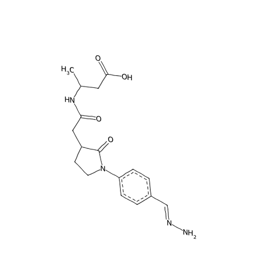 CC(CC(=O)O)NC(=O)CC1CCN(c2ccc(C=NN)cc2)C1=O